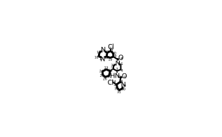 O=C(N[C@@H]1CCN(C(=O)c2cc(Cl)c3nccnc3c2)C[C@@H]1c1ccccc1)c1ncccc1Cl